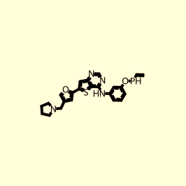 C=CPOc1cccc(Nc2ncnc3cc(-c4cc(CN5CCCC5)co4)sc23)c1